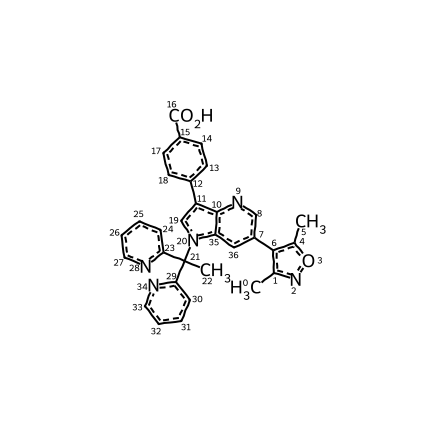 Cc1noc(C)c1-c1cnc2c(-c3ccc(C(=O)O)cc3)cn(C(C)(c3ccccn3)c3ccccn3)c2c1